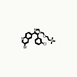 C[Si](C)(C)CCOCn1cnc(-c2ccc3ncc(Br)cc3c2)c1-c1cccc(Cl)c1